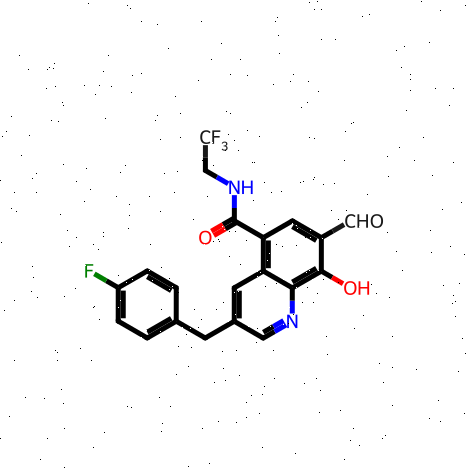 O=Cc1cc(C(=O)NCC(F)(F)F)c2cc(Cc3ccc(F)cc3)cnc2c1O